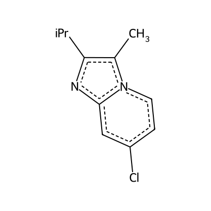 Cc1c(C(C)C)nc2cc(Cl)ccn12